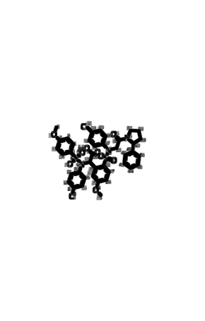 COc1ccc(S(=O)(=O)N(c2ccc(Cl)cc2)C(C(=O)O)c2cc(OC)ccc2S(=O)(=O)N(CC(=O)N2CCCC2c2ccccc2)c2ccc(Cl)cc2)cc1